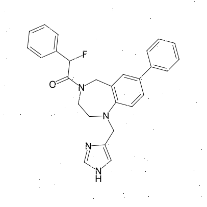 O=C(C(F)c1ccccc1)N1CCN(Cc2c[nH]cn2)c2ccc(-c3ccccc3)cc2C1